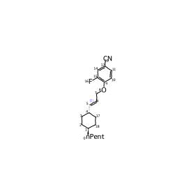 CCCCC[C@H]1CC[C@H](/C=C/COc2ccc(C#N)cc2F)CC1